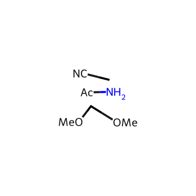 CC#N.CC(N)=O.COCOC